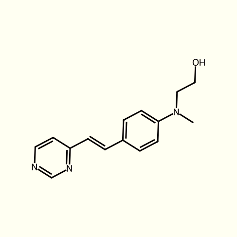 CN(CCO)c1ccc(C=Cc2ccncn2)cc1